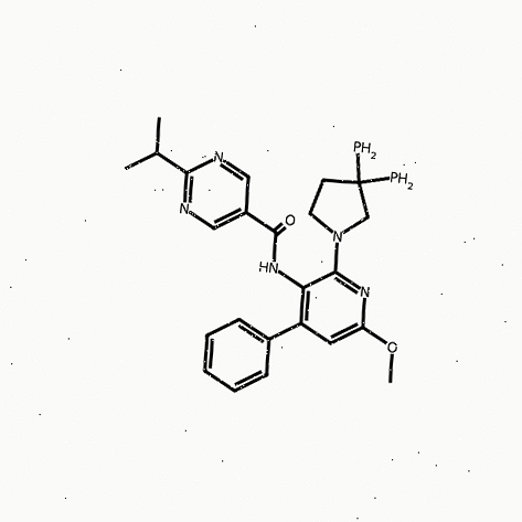 COc1cc(-c2ccccc2)c(NC(=O)c2cnc(C(C)C)nc2)c(N2CCC(P)(P)C2)n1